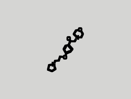 O=C(CN1CCOCC1)c1ccc(OCCCN2CCCC2)cc1